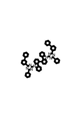 c1ccc(-c2cccc(-c3nc(-c4ccccc4)nc(-n4c5ccccc5c5c(-c6cccc7c6c6ccccc6n7-c6nc(-c7ccccc7)nc(-c7cccc(-c8ccccc8)c7)n6)cccc54)n3)c2)cc1